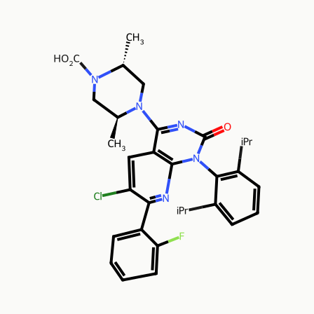 CC(C)c1cccc(C(C)C)c1-n1c(=O)nc(N2C[C@@H](C)N(C(=O)O)C[C@@H]2C)c2cc(Cl)c(-c3ccccc3F)nc21